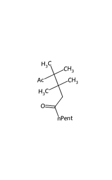 CCCCCC(=O)CC(C)(C)C(C)(C)C(C)=O